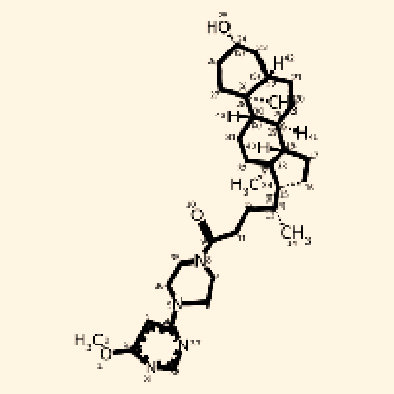 COc1cc(N2CCN(C(=O)CC[C@@H](C)[C@H]3CC[C@H]4[C@@H]5CC[C@H]6C[C@@H](O)CC[C@]6(C)[C@H]5CC[C@]34C)CC2)ncn1